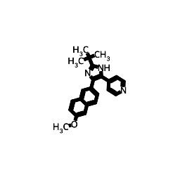 COc1ccc2cc(-c3nc(C(C)(C)C)[nH]c3-c3ccncc3)ccc2c1